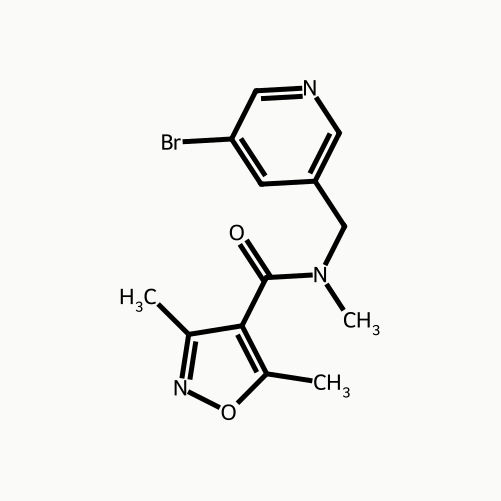 Cc1noc(C)c1C(=O)N(C)Cc1cncc(Br)c1